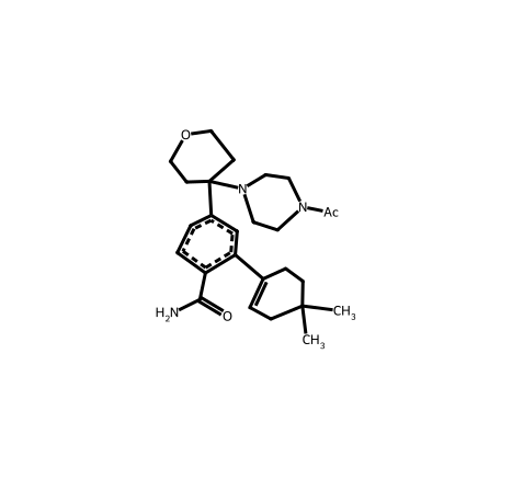 CC(=O)N1CCN(C2(c3ccc(C(N)=O)c(C4=CCC(C)(C)CC4)c3)CCOCC2)CC1